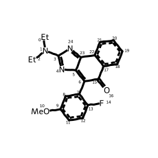 CCN(CC)C1=NC2=C(c3cc(OC)ccc3F)C(=O)c3ccccc3C2=N1